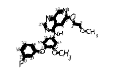 COCCOc1cc2c(Nc3ccc(Oc4cccc(F)c4)c(OC)c3)ncnc2cn1